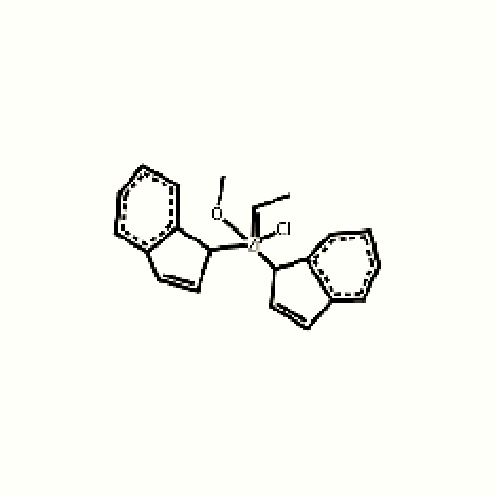 C[CH]=[Zr]([Cl])([O]C)([CH]1C=Cc2ccccc21)[CH]1C=Cc2ccccc21